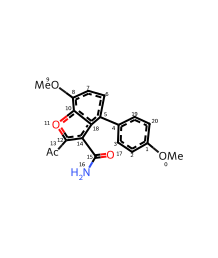 COc1ccc(-c2ccc(OC)c3oc(C(C)=O)c(C(N)=O)c23)cc1